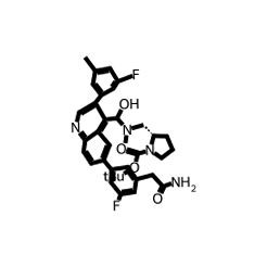 Cc1cc(F)cc(-c2cnc3ccc(-c4cc(F)cc(CC(N)=O)c4)cc3c2C(O)N(C)C[C@@H]2CCCN2C(=O)OC(C)(C)C)c1